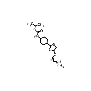 CN/C=C\OC1CSC(C2CCC(NC(=O)OC(C)C)CC2)=N1